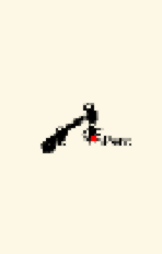 CCCCCC(F)(F)C(=O)CC[C@H]1C=CC(=O)[C@@H]1CCCCCCOC(=O)Cc1ccccc1